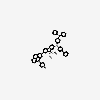 CC1(C)c2cc(-c3cc4ccc5cccc6c5c4c(c3)n6-c3ccc(F)cc3)ccc2-c2ccc(N(c3ccc(-c4ccccc4)cc3)c3ccc(N(c4ccccc4)c4ccccc4)cc3)cc21